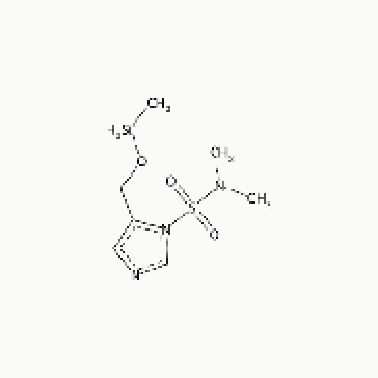 C[SiH2]OCc1cncn1S(=O)(=O)N(C)C